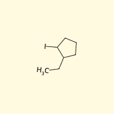 CCC1CCCC1I